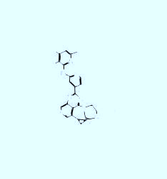 C[C@@H]1CN(c2nc(-c3ccnc(Nc4nc(F)cc(F)c4F)c3)nc3cncc(C4CC4)c23)C[C@H](C)N1